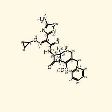 Nc1nc(C(=NOC2CC2)C(=O)N[C@@H]2C(=O)N3C(C(=O)[O-])=C(C[n+]4ccccc4)CS[C@@H]23)ns1